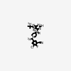 [2H]c1nc(N([2H])C2([2H])CCN(C([2H])c3cc(Cl)c(F)c(C#N)c3)CC2)c2sc(C([2H])(C)C)nc2n1